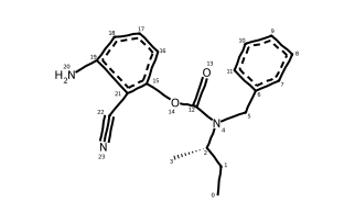 CC[C@H](C)N(Cc1ccccc1)C(=O)Oc1cccc(N)c1C#N